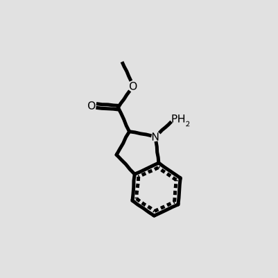 COC(=O)C1Cc2ccccc2N1P